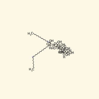 CCCCCCCC/C=C\CCCCCCCCCCCCCC(=O)N[C@@H](CO[C@@H]1OC(CO)[C@@H](O[C@@H]2OC(CO)[C@H](O)[C@H](O[C@]3(C(=O)O)CC(O)[C@@H](O)C([C@H](O)[C@H](O)CO)O3)C2O)[C@H](O)C1O)[C@H](O)/C=C/CCCCCCCCCCCCC